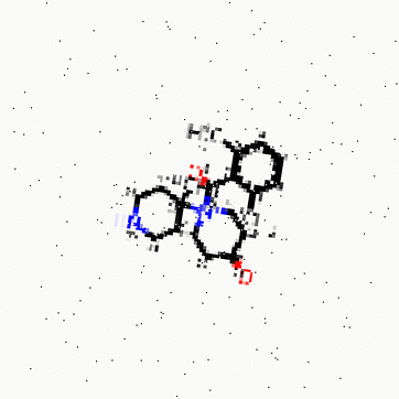 Cc1cccc(C)c1C(=O)[N+]1(C2(C)CCNCC2)CCC(=O)CC1